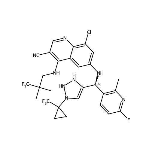 Cc1nc(F)ccc1[C@H](Nc1cc(Cl)c2ncc(C#N)c(NCC(C)(C)C(F)(F)F)c2c1)C1=CN(C2(C(F)(F)F)CC2)NN1